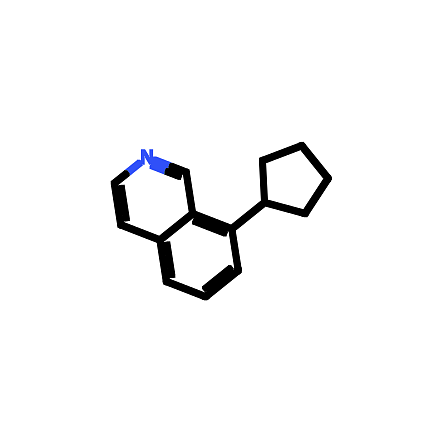 c1cc(C2CCCC2)c2cnccc2c1